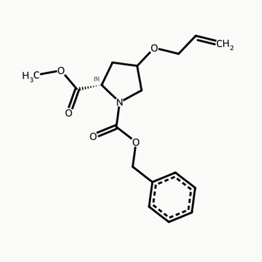 C=CCOC1C[C@@H](C(=O)OC)N(C(=O)OCc2ccccc2)C1